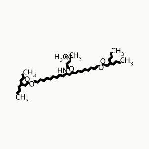 CCCCC(CCCC)CC(=O)OCCCCCCCCCCC(CCCCCCCCCCOC(=O)CC(CCCC)CCCC)NC(=O)CCN(C)C